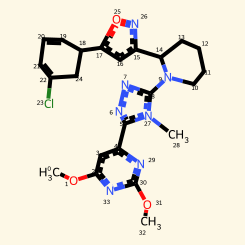 COc1cc(-c2nnc(N3CCCCC3c3cc(C4C=CC=C(Cl)C4)on3)n2C)nc(OC)n1